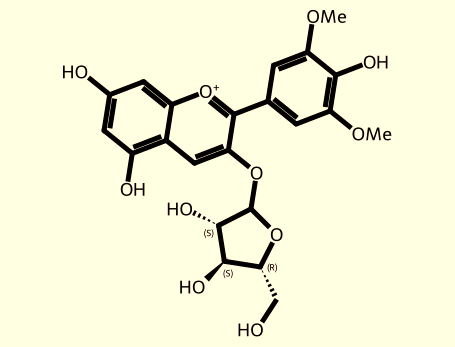 COc1cc(-c2[o+]c3cc(O)cc(O)c3cc2OC2O[C@H](CO)[C@@H](O)[C@@H]2O)cc(OC)c1O